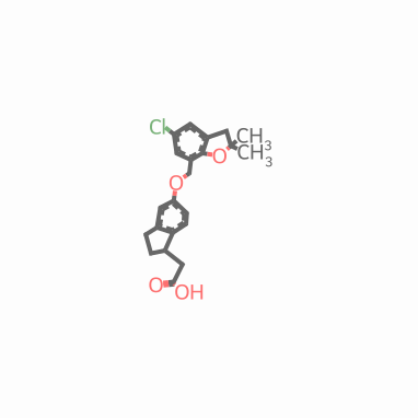 CC1(C)Cc2cc(Cl)cc(COc3ccc4c(c3)CCC4CC(=O)O)c2O1